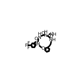 CNC[C@@H]1NC(=O)CNC(=O)[C@@H](Cc2cccc(C(F)(F)F)c2)NCCOc2ccccc2CCCNC1=O